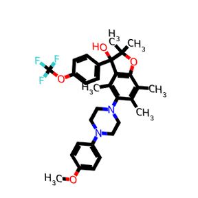 COc1ccc(N2CCN(c3c(C)c(C)c4c(c3C)C(O)(c3ccc(OC(F)(F)F)cc3)C(C)(C)O4)CC2)cc1